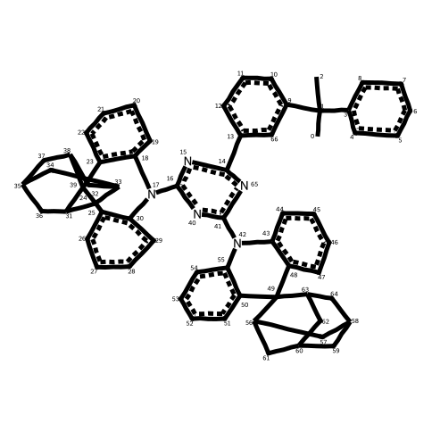 CC(C)(c1ccccc1)c1cccc(-c2nc(N3c4ccccc4C4(c5ccccc53)C3CC5CC(C3)CC4C5)nc(N3c4ccccc4C4(c5ccccc53)C3CC5CC(C3)CC4C5)n2)c1